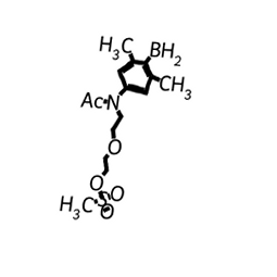 Bc1c(C)cc(N(CCOCCOS(C)(=O)=O)C(C)=O)cc1C